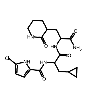 NC(=O)C(CC1CCCNC1=O)NC(=O)C(CC1CC1)NC(=O)c1ccc(Cl)[nH]1